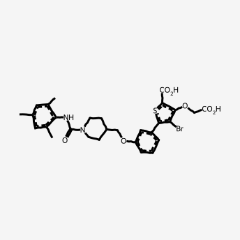 Cc1cc(C)c(NC(=O)N2CCC(COc3cccc(-c4sc(C(=O)O)c(OCC(=O)O)c4Br)c3)CC2)c(C)c1